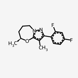 Cc1c(-c2ccc(F)cc2F)nn2c1O[C@@H](C)CCC2